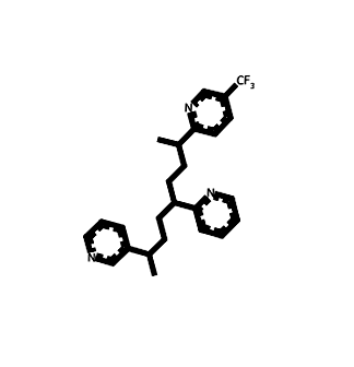 CC(CCC(CCC(C)c1ccc(C(F)(F)F)cn1)c1ccccn1)c1cccnc1